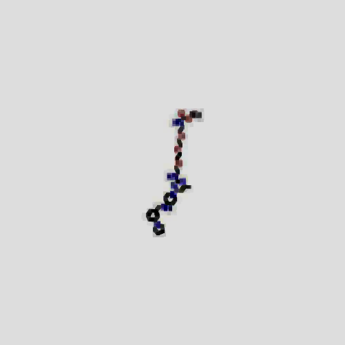 Cc1cc(N2CCC(NCc3cccc(N4CCCC4)c3)CC2)nc(NCCOCCOCCOCCNC(=O)OC(C)(C)C)n1